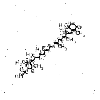 CCCC(=O)OC1CC(C)(C)C(/C=C/C(C)=C/C=C/C(C)=C/C=C/C=C(C)/C=C/C=C(C)/C=C/C2=C(C)C(=O)CCC2(C)C)=C(C)C1=O